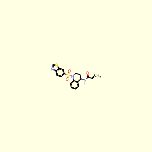 C=CC(=O)NC1CCN(S(=O)(=O)c2ccc3ncsc3c2)c2ccccc21